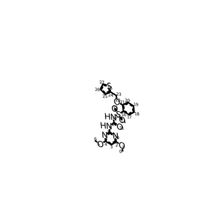 COc1cc(OC)nc(NC(=O)NS(=O)(=O)c2ccccc2OCc2cccs2)n1